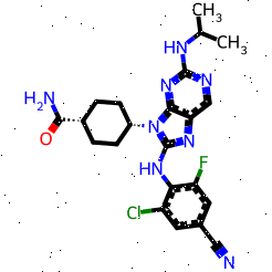 CC(C)Nc1ncc2nc(Nc3c(F)cc(C#N)cc3Cl)n([C@H]3CC[C@@H](C(N)=O)CC3)c2n1